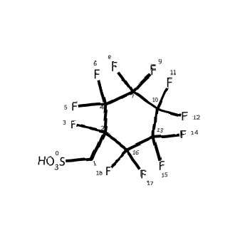 O=S(=O)(O)CC1(F)C(F)(F)C(F)(F)C(F)(F)C(F)(F)C1(F)F